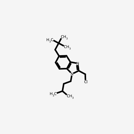 CC(C)CCn1c(CCl)nc2cc(CC(C)(C)C)ccc21